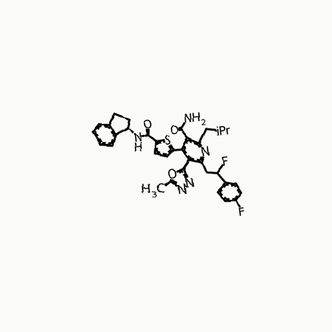 Cc1nnc(-c2c(CC(F)c3ccc(F)cc3)nc(CC(C)C)c(C(N)=O)c2-c2ccc(C(=O)N[C@@H]3CCc4ccccc43)s2)o1